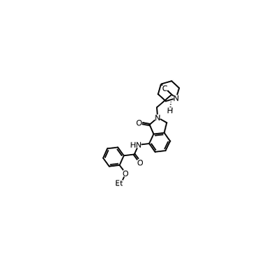 CCOc1ccccc1C(=O)Nc1cccc2c1C(=O)N(C[C@H]1CC3CCN1CC3)C2